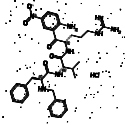 CC(C)[C@H](NC(=O)[C@H](Cc1ccccc1)NCc1ccccc1)C(=O)N[C@@H](CCCNC(=N)N)C(=O)c1cc([N+](=O)[O-])ccc1N.Cl